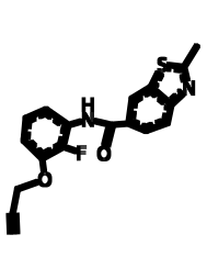 C#CCOc1cccc(NC(=O)c2ccc3nc(C)sc3c2)c1F